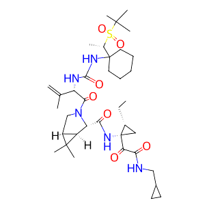 C=C(C)[C@H](NC(=O)NC1([C@H](C)S(=O)(=O)C(C)(C)C)CCCCC1)C(=O)N1C[C@H]2[C@@H]([C@H]1C(=O)N[C@@]1(C(=O)C(=O)NCC3CC3)C[C@H]1CC)C2(C)C